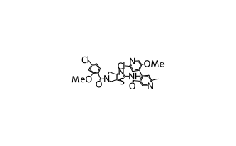 COc1cc(Cl)ccc1C(=O)N1Cc2nc(NC(=O)c3cnc(C)cc3-c3cc(Cl)ncc3OC)sc2C1